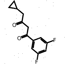 O=C(CC(=O)c1cc(F)cc(F)c1)CC1CC1